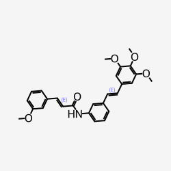 COc1cccc(/C=C/C(=O)Nc2cccc(/C=C/c3cc(OC)c(OC)c(OC)c3)c2)c1